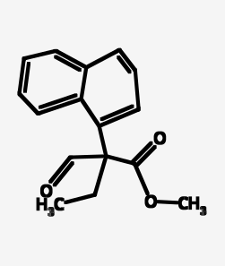 CCC(C=O)(C(=O)OC)c1cccc2ccccc12